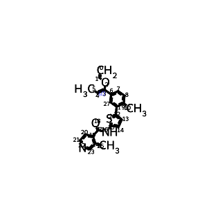 C=CO/C(=C\C)c1ccc(C)c(-c2ccc(NC(=O)c3ccncc3C)s2)c1